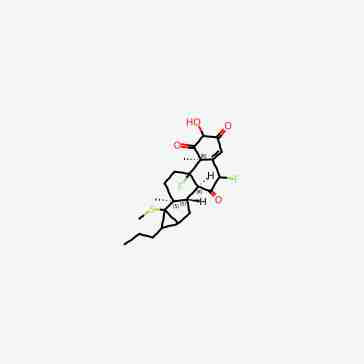 CCCC1C2C[C@H]3[C@@H]4C(=O)C(F)C5=CC(=O)C(O)C(=O)[C@]5(C)C4(F)CC[C@]3(C)C12SC